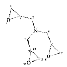 C1OC1CN(CC1CO1)C[C@H]1CO1